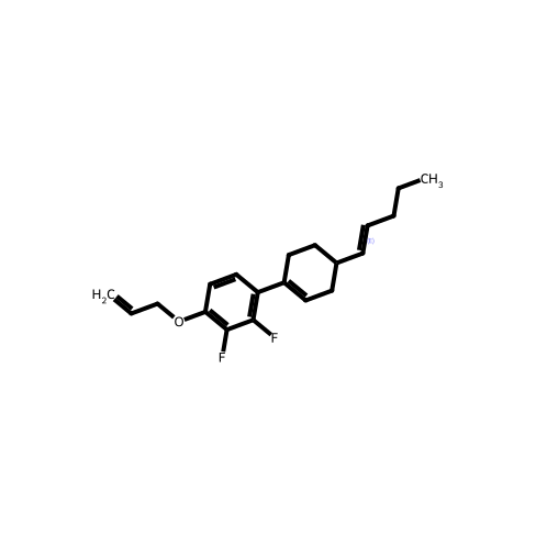 C=CCOc1ccc(C2=CCC(/C=C/CCC)CC2)c(F)c1F